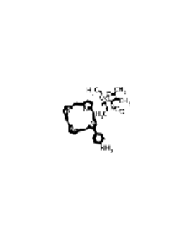 CCO[Si](OCC)(OCC)C(CC)N=C=O.Nc1ccc(C2=CC3=CC4=NC(=CC5=NC(=CC6=NC(=CC2=N3)C=C6)C=C5)C=C4)cc1